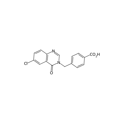 O=C(O)c1ccc(Cn2cnc3ccc(Cl)cc3c2=O)cc1